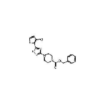 O=C(OCc1ccccc1)N1CCN(c2noc(-c3sccc3Cl)n2)CC1